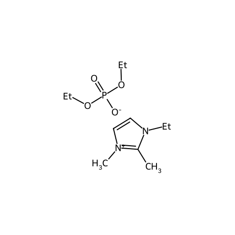 CCOP(=O)([O-])OCC.CCn1cc[n+](C)c1C